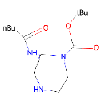 CC(C)(C)OC(=O)N1CCNCC1.CCCCC(N)=O